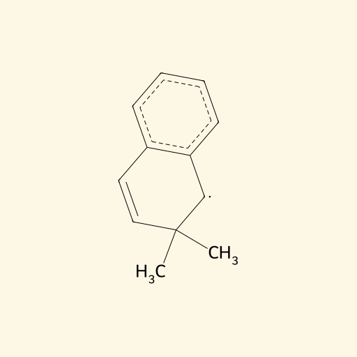 CC1(C)[CH]c2ccccc2C=C1